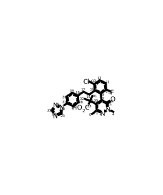 Cc1nn(C)c(=O)c(-c2c(F)ccc(Cl)c2CCc2ccc(-n3cncn3)cc2)c1C(C)(C)C(=O)O